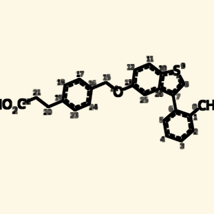 Cc1ccccc1-c1csc2ccc(OCc3ccc(CCC(=O)O)cc3)cc12